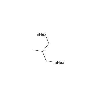 [CH2]CCCCCCC(C)CCCCCC[CH2]